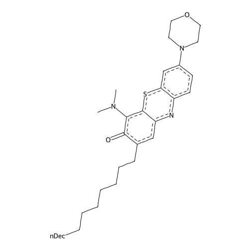 CCCCCCCCCCCCCCCCCc1cc2nc3ccc(N4CCOCC4)cc3sc-2c(N(C)C)c1=O